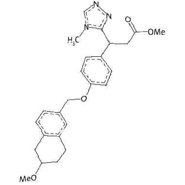 COC(=O)CC(c1ccc(OCc2ccc3c(c2)CCC(OC)C3)cc1)c1nncn1C